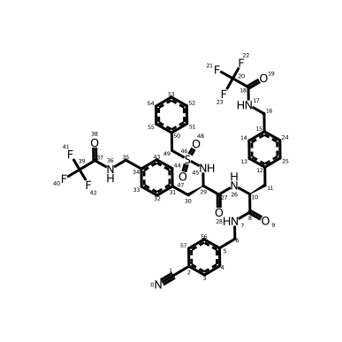 N#Cc1ccc(CNC(=O)[C@H](Cc2ccc(CNC(=O)C(F)(F)F)cc2)NC(=O)[C@@H](Cc2ccc(CNC(=O)C(F)(F)F)cc2)NS(=O)(=O)Cc2ccccc2)cc1